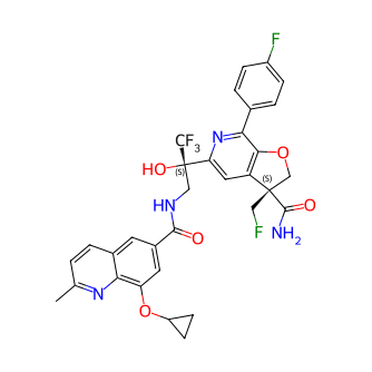 Cc1ccc2cc(C(=O)NC[C@](O)(c3cc4c(c(-c5ccc(F)cc5)n3)OC[C@]4(CF)C(N)=O)C(F)(F)F)cc(OC3CC3)c2n1